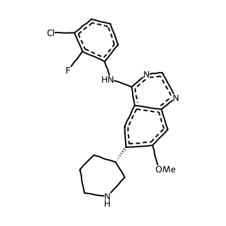 COc1cc2ncnc(Nc3cccc(Cl)c3F)c2cc1[C@H]1CCCNC1